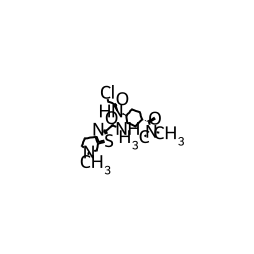 CN1CCc2nc(C(=O)N[C@@H]3C[C@@H](C(=O)N(C)C)CC[C@@H]3NC(=O)CCl)sc2C1